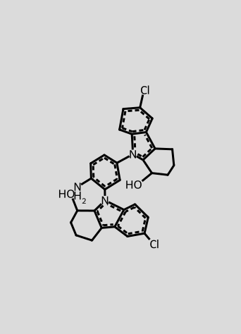 Nc1ccc(-n2c3c(c4cc(Cl)ccc42)CCCC3O)cc1-n1c2c(c3cc(Cl)ccc31)CCCC2O